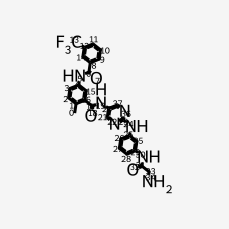 Cc1ccc(NC(=O)c2cccc(C(F)(F)F)c2)cc1C(=O)Nc1cnc(Nc2cccc(NC(=O)CN)c2)nc1